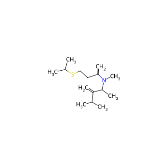 C=C(C(C)C)C(C)N(C)C(=C)CCSC(C)C